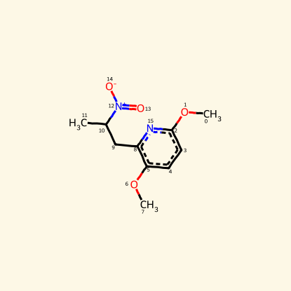 COc1ccc(OC)c(CC(C)[N+](=O)[O-])n1